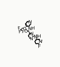 O=C(Nc1cnccc1OCC(F)(F)F)c1ccnc(Nc2ccc(F)nc2)n1